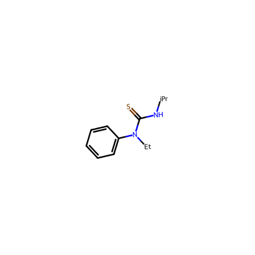 [CH2]CN(C(=S)NC(C)C)c1ccccc1